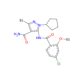 CCOc1cc(Cl)ccc1C(=O)Nc1c(C(N)=O)c(CC)nn1C1CCCC1